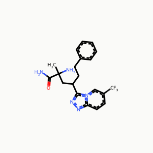 CC(N)(CC(CCc1ccccc1)c1nnc2ccc(C(F)(F)F)cn12)C(N)=O